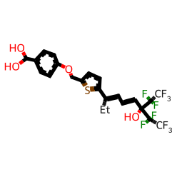 CCC(=CC=CC(O)(C(F)(F)C(F)(F)F)C(F)(F)C(F)(F)F)c1ccc(COc2ccc(C(O)O)cc2)s1